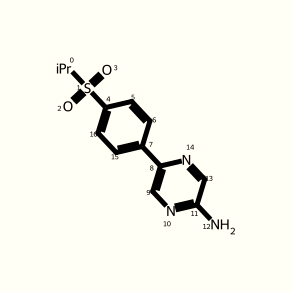 CC(C)S(=O)(=O)c1ccc(-c2cnc(N)[c]n2)cc1